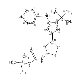 CC(C)(C)OC(=O)NC1CC[C@H](c2cc(Nc3ccnnc3)n(C(C)(C)C)n2)C1